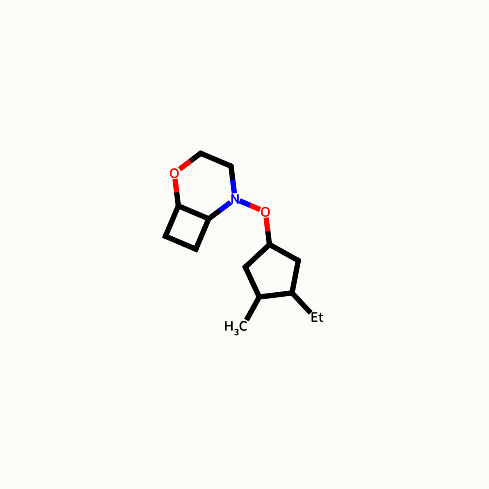 CCC1CC(ON2CCOC3CCC32)CC1C